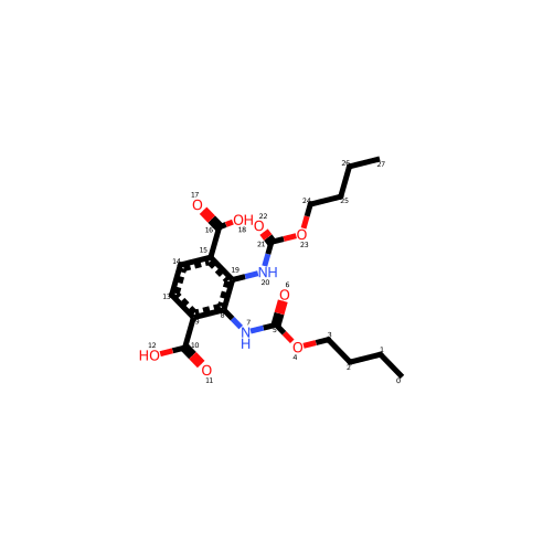 CCCCOC(=O)Nc1c(C(=O)O)ccc(C(=O)O)c1NC(=O)OCCCC